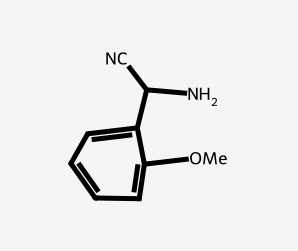 COc1ccccc1C(N)C#N